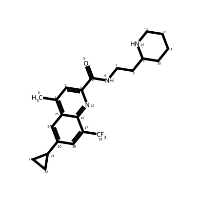 Cc1cc(C(=O)NCCC2CCCCN2)nc2c(C(F)(F)F)cc(C3CC3)cc12